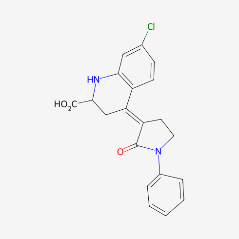 O=C(O)C1CC(=C2CCN(c3ccccc3)C2=O)c2ccc(Cl)cc2N1